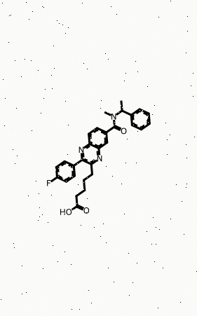 CC(c1ccccc1)N(C)C(=O)c1ccc2nc(-c3ccc(F)cc3)c(CCCCC(=O)O)nc2c1